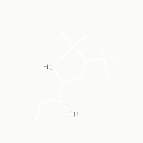 CCC(O)C(O)CC(C(C)(C)C)C(C)(C)C